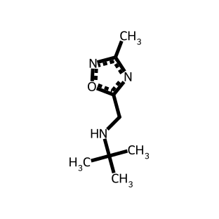 Cc1noc(CNC(C)(C)C)n1